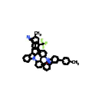 Cc1ccc(-c2ccc3c(c2)c2ccccc2n3-c2ccc(-c3ccc(C#N)cc3C(F)(F)F)cc2-c2c(C#N)cccc2-n2c3ccccc3c3cc(-c4ccc(C)cc4)ccc32)cc1